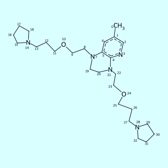 Cc1cnc2c(c1)N(CCOCCCN1CCCC1)CCN2CCOCCCN1CCCC1